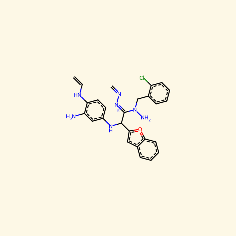 C=CNc1ccc(NC(/C(=N/N=C)N(N)Cc2ccccc2Cl)c2cc3ccccc3o2)cc1N